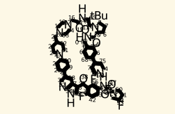 C[C@H](NC(=O)[C@@H]1CCCN1C(=O)[C@@H](NC(=O)CN1CCN(CC2CCN(c3ccc(-c4cnc5[nH]cc(C(=O)c6c(F)ccc(NS(=O)(=O)N7CC[C@@H](F)C7)c6F)c5c4)cc3)CC2)CC1)C(C)(C)C)c1ccc(-c2ccncc2)cc1